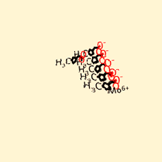 CC1CCC(CC(=O)[O-])C1.CC1CCC(CC(=O)[O-])C1.CC1CCC(CC(=O)[O-])C1.CC1CCC(CC(=O)[O-])C1.CC1CCC(CC(=O)[O-])C1.CC1CCC(CC(=O)[O-])C1.[Mo+6]